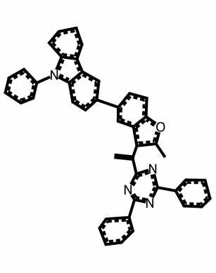 C=C(c1nc(-c2ccccc2)nc(-c2ccccc2)n1)c1c(C)oc2ccc(-c3ccc4c(c3)c3ccccc3n4-c3ccccc3)cc12